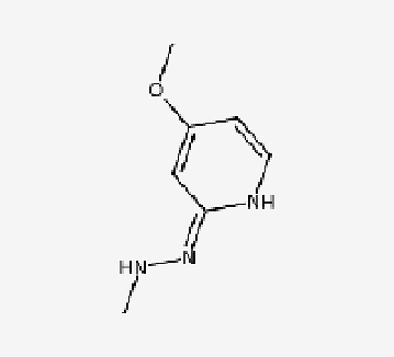 CNN=c1cc(OC)cc[nH]1